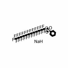 O=S(=O)(OC(F)(F)C(F)(F)C(F)(F)C(F)(F)C(F)(F)C(F)(F)C(F)(F)C(F)(F)C(F)(F)C(F)(F)C(F)(F)C(F)(F)F)c1ccccc1.[NaH]